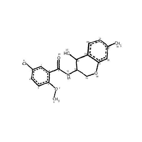 COc1ccc(Cl)cc1C(=O)NC1COc2cc(C)ccc2C1O